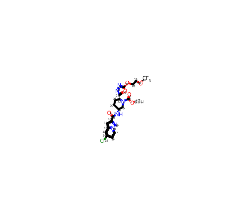 CC(C)(C)OC(=O)N1C[C@@H](NC(=O)c2cc3cc(Cl)ccn3n2)CC[C@@H]1c1nnc(OCCOC(F)(F)F)o1